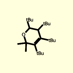 CC(C)(C)C1=C(C(C)(C)C)C(C)(C)OC(C(C)(C)C)C1C(C)(C)C